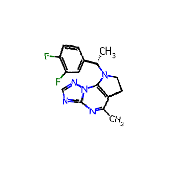 Cc1nc2ncnn2c2c1CCN2[C@@H](C)c1ccc(F)c(F)c1